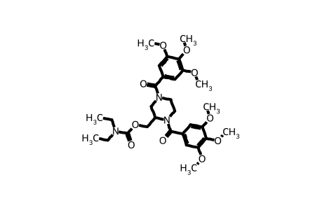 CCN(CC)C(=O)OCC1CN(C(=O)c2cc(OC)c(OC)c(OC)c2)CCN1C(=O)c1cc(OC)c(OC)c(OC)c1